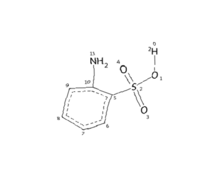 [2H]OS(=O)(=O)c1ccccc1N